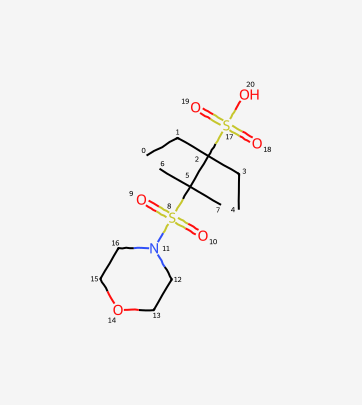 CCC(CC)(C(C)(C)S(=O)(=O)N1CCOCC1)S(=O)(=O)O